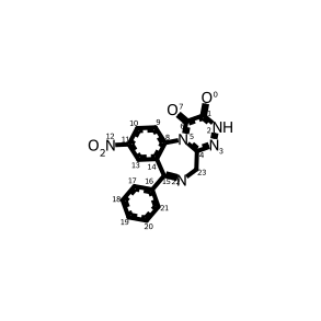 O=c1[nH]nc2n(c1=O)-c1ccc([N+](=O)[O-])cc1C(c1ccccc1)=NC2